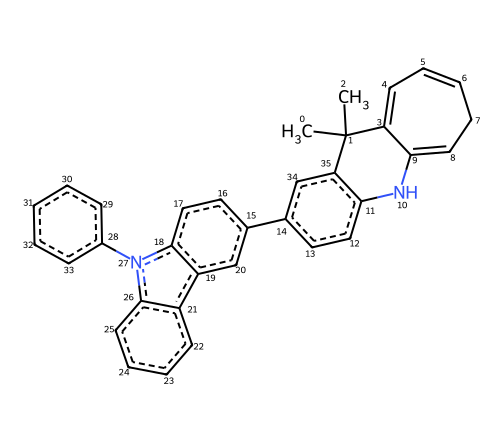 CC1(C)C2=CC=CCC=C2Nc2ccc(-c3ccc4c(c3)c3ccccc3n4-c3ccccc3)cc21